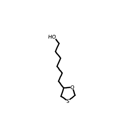 OCCCCCCC1CSCO1